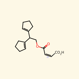 O=C(O)/C=C\C(=O)OCC(C1=CCCC1)C1=CCCC1